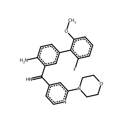 COc1cccc(F)c1-c1ccc(N)c(C(=N)c2ccnc(N3CCOCC3)c2)c1